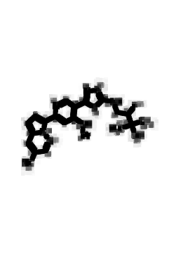 CC(C)Nc1cc(-c2ccc3cc(C#N)cnn23)ncc1-c1nnc(NCC(F)C(C)(C)O)s1